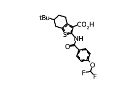 CC(C)(C)C1CCc2c(sc(NC(=O)c3ccc(OC(F)F)cc3)c2C(=O)O)C1